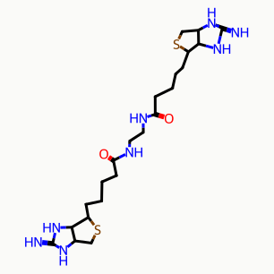 N=C1NC2CSC(CCCCC(=O)NCCNC(=O)CCCCC3SCC4NC(=N)NC43)C2N1